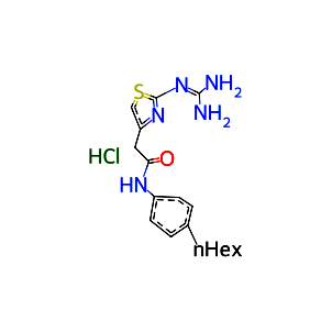 CCCCCCc1ccc(NC(=O)Cc2csc(N=C(N)N)n2)cc1.Cl